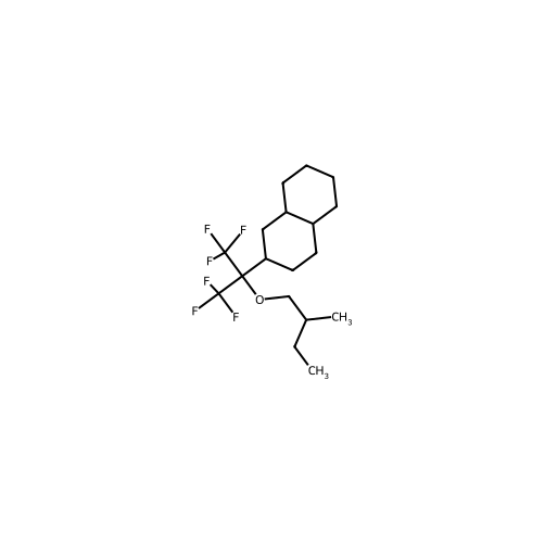 CCC(C)COC(C1CCC2CCCCC2C1)(C(F)(F)F)C(F)(F)F